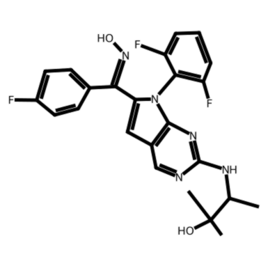 CC(Nc1ncc2cc(C(=NO)c3ccc(F)cc3)n(-c3c(F)cccc3F)c2n1)C(C)(C)O